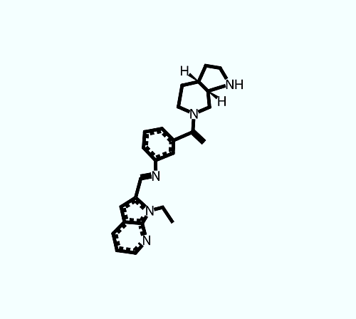 C=C(c1cccc(/N=C/c2cc3cccnc3n2CC)c1)N1CC[C@@H]2CCN[C@@H]2C1